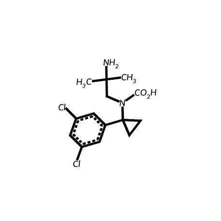 CC(C)(N)CN(C(=O)O)C1(c2cc(Cl)cc(Cl)c2)CC1